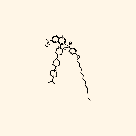 CCCCCCCCCCCCCCOc1ccc(S(=O)(=O)c2cnc3ccc([S+](C)[O-])cc3c2N2CCC(N3CCC(N4CCN(C(C)C)CC4)CC3)CC2)cc1